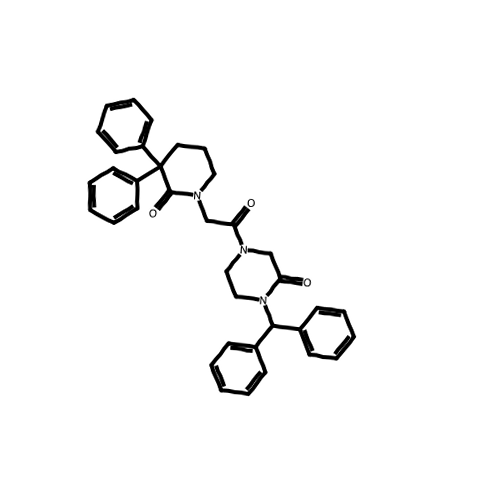 O=C(CN1CCCC(c2ccccc2)(c2ccccc2)C1=O)N1CCN(C(c2ccccc2)c2ccccc2)C(=O)C1